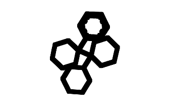 c1ccc(C2(C3(C4CCCCC4)CCCCC3)CCCCC2)cc1